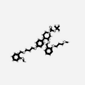 COCCCOc1ccccc1COC1CN(C(=O)OC(C)(C)C)CCC1c1ccc(OCCCOCc2ccccc2OC)cc1